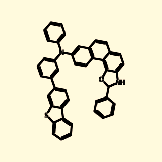 c1ccc(C2Nc3ccc4ccc5cc(N(c6ccccc6)c6cccc(-c7ccc8c(c7)sc7ccccc78)c6)ccc5c4c3O2)cc1